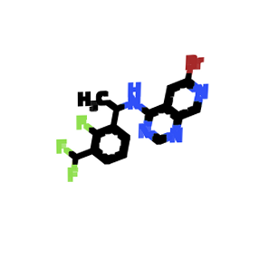 CC(Nc1ncnc2cnc(Br)cc12)c1cccc(C(F)F)c1F